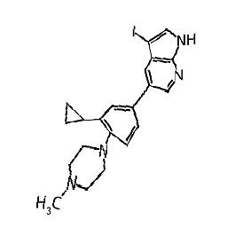 CN1CCN(c2ccc(-c3cnc4[nH]cc(I)c4c3)cc2C2CC2)CC1